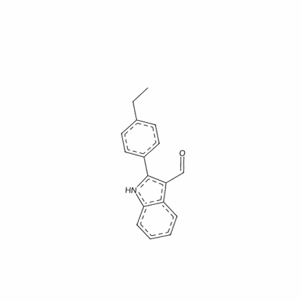 CCc1ccc(-c2[nH]c3ccccc3c2C=O)cc1